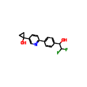 OC(c1ccc(-c2ccc(C3(O)CC3)cn2)cc1)C(F)F